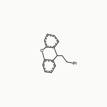 CC(C)CCC1c2ccccc2Oc2ccccc21